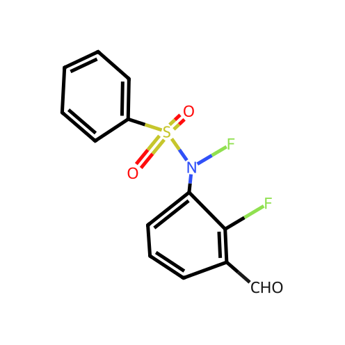 O=Cc1cccc(N(F)S(=O)(=O)c2ccccc2)c1F